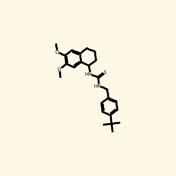 COc1cc2c(cc1OC)C(NC(=S)NCc1ccc(C(C)(C)C)cc1)CCC2